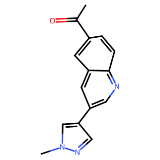 CC(=O)c1ccc2ncc(-c3cnn(C)c3)cc2c1